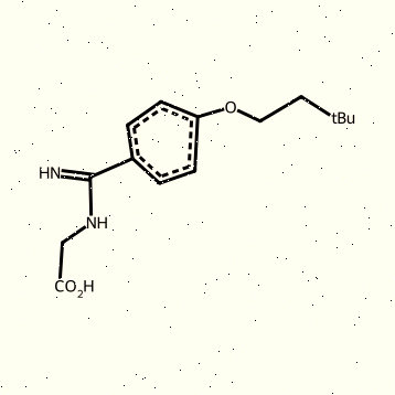 CC(C)(C)CCOc1ccc(C(=N)NCC(=O)O)cc1